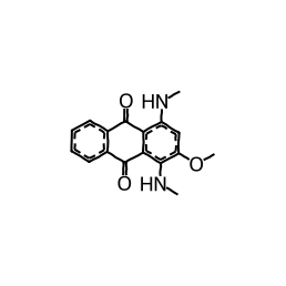 CNc1cc(OC)c(NC)c2c1C(=O)c1ccccc1C2=O